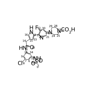 CS(=O)(=O)Nc1cc(Cl)cc(NC(=O)Cc2c[nH]c(-c3ncc(N4CCN(C(=O)O)CC4)cc3F)c2)c1